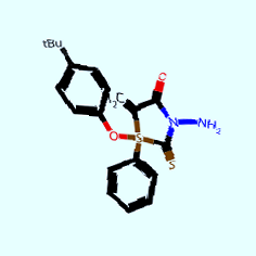 C=C1C(=O)N(N)C(=S)S1(Oc1ccc(C(C)(C)C)cc1)c1ccccc1